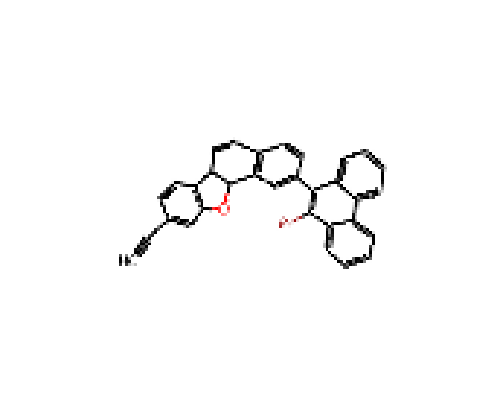 C#Cc1ccc2c(c1)OC1c3cc(-c4c(Br)c5ccccc5c5ccccc45)ccc3C=CC21